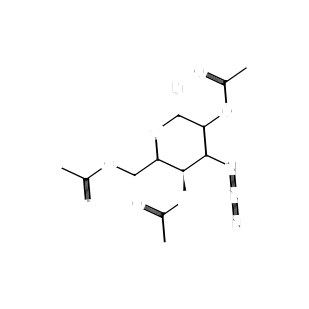 CC(=O)OCC1O[C@H](Br)C(OC(C)=O)C(N=[N+]=[N-])[C@H]1OC(C)=O